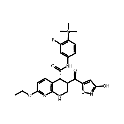 CCOc1ccc2c(n1)NCC(C(=O)c1cc(O)no1)[C@H]2C(=O)Nc1ccc([Si](C)(C)C)c(F)c1